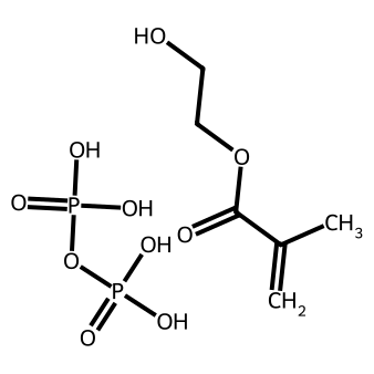 C=C(C)C(=O)OCCO.O=P(O)(O)OP(=O)(O)O